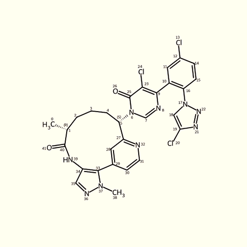 C[C@@H]1CCC[C@H](n2cnc(-c3cc(Cl)ccc3-n3cc(Cl)nn3)c(Cl)c2=O)c2cc(ccn2)-c2c(cnn2C)NC1=O